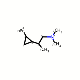 CCCC1CC1C(C)CN(C)C